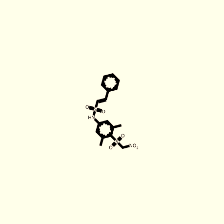 Cc1cc(NS(=O)(=O)C=Cc2ccccc2)cc(C)c1S(=O)(=O)C[N+](=O)[O-]